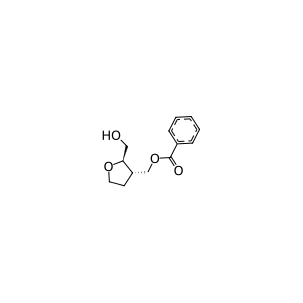 O=C(OC[C@@H]1CCO[C@H]1CO)c1ccccc1